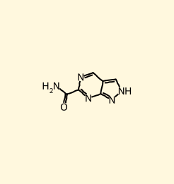 NC(=O)c1ncc2c[nH]nc2n1